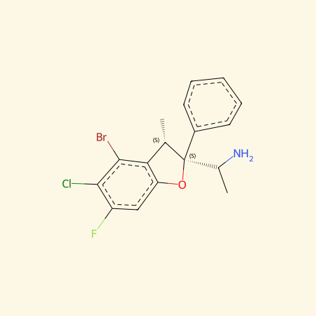 CC(N)[C@]1(c2ccccc2)Oc2cc(F)c(Cl)c(Br)c2[C@@H]1C